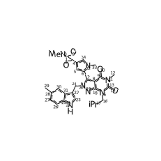 CNS(=O)(=O)c1cc(-c2c3c(=O)n(C)c(=O)n(CC(C)C)c3nn2Cc2c[nH]c3ccc(C)cc23)n(C)c1